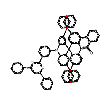 O=c1c2ccccc2c2cc(-c3ccccc3)cc3c2n1-c1ccc(-c2ccccc2)cc1C31c2cc(-c3ccccc3)ccc2N(c2cccc(-c3nc(-c4ccccc4)cc(-c4ccccc4)n3)c2)c2ccc(-c3ccccc3)cc21